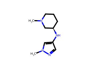 CN1CCC[C@@H](Nc2cnn(C)c2)C1